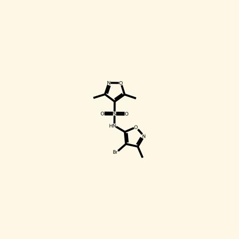 Cc1noc(NS(=O)(=O)c2c(C)noc2C)c1Br